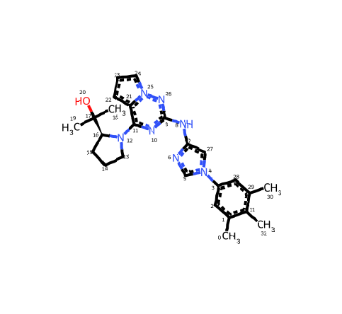 Cc1cc(-n2cnc(Nc3nc(N4CCC[C@H]4C(C)(C)O)c4cccn4n3)c2)cc(C)c1C